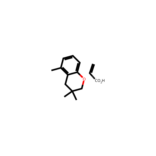 C=CC(=O)O.Cc1cccc2c1CC(C)(C)CO2